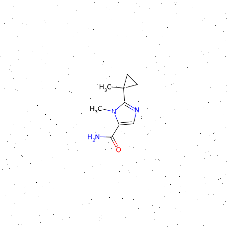 Cn1c(C(N)=O)cnc1C1(C)CC1